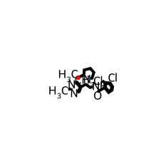 Cc1ncc(C(CNC(=O)c2cccc(Cl)c2Cl)N2CCCCC2C(C)C)cn1